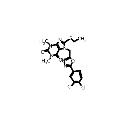 CCSc1nc2c(c(=O)n(C)c(=O)n2C)n1Cc1nnc(-c2ccc(Cl)c(Cl)c2)o1